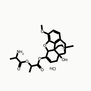 COc1ccc2c3c1OC1C(OC(=O)C(C)OC(=O)C(C)N)=CCC4(O)C(C2)N(C)CCC314.Cl